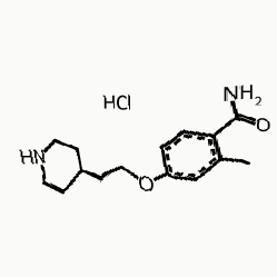 Cc1cc(OCCC2CCNCC2)ccc1C(N)=O.Cl